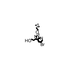 C[Si](C)(C)CCOCn1nc(CCO)c2cc(Br)cnc21